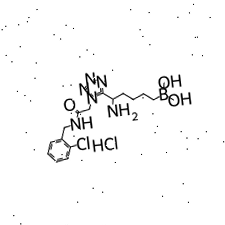 Cl.NC(CCCCB(O)O)c1nnnn1CC(=O)NCc1ccccc1Cl